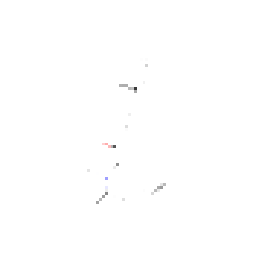 C=CCCC(=C)N(C)CC(=O)CCSC(=C)CC(C)C